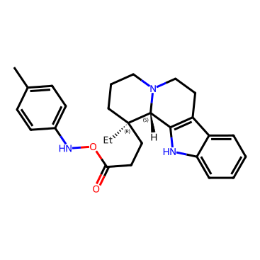 CC[C@]1(CCC(=O)ONc2ccc(C)cc2)CCCN2CCc3c([nH]c4ccccc34)[C@@H]21